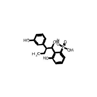 CCC(c1cccc(O)c1)C(O)c1c(O)cccc1P(=O)(O)O